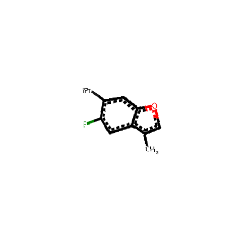 Cc1coc2cc(C(C)C)c(F)cc12